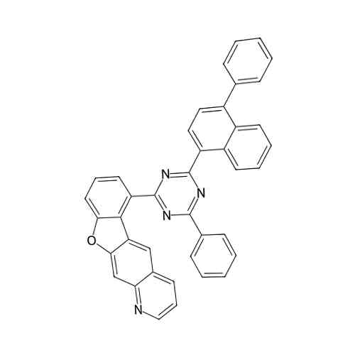 c1ccc(-c2nc(-c3ccc(-c4ccccc4)c4ccccc34)nc(-c3cccc4oc5cc6ncccc6cc5c34)n2)cc1